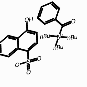 CCCC[N+](CCCC)(CCCC)C(=O)c1ccccc1.O=S(=O)([O-])c1ccc(O)c2ccccc12